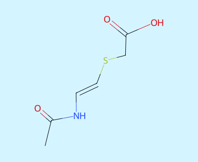 CC(=O)N/C=C/SCC(=O)O